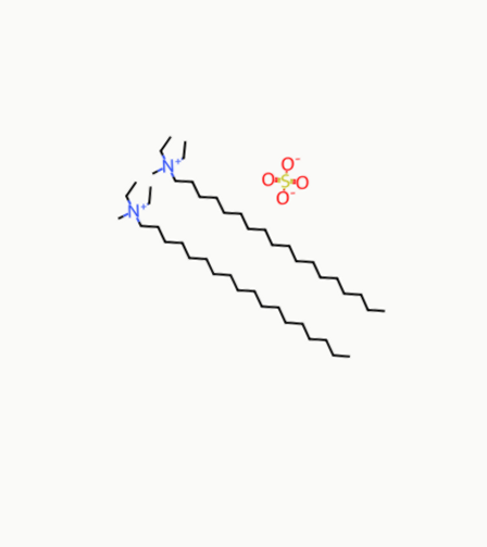 CCCCCCCCCCCCCCCCCC[N+](C)(CC)CC.CCCCCCCCCCCCCCCCCC[N+](C)(CC)CC.O=S(=O)([O-])[O-]